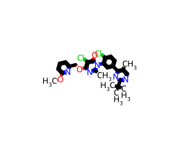 COc1cccc(COc2nc(C)n(-c3cc(-c4nc(C(C)(C)C)ncc4C)ccc3Cl)c(=O)c2Cl)n1